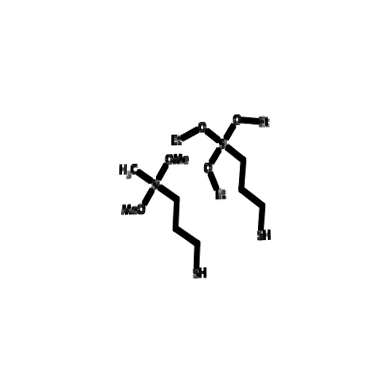 CCO[Si](CCCS)(OCC)OCC.CO[Si](C)(CCCS)OC